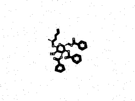 C=CCC[C@@H](C)O[C@@H]1O[C@H](COC(=O)c2ccccc2)[C@@H](OC(=O)c2ccccc2)[C@H](OC(=O)c2ccccc2)[C@H]1O